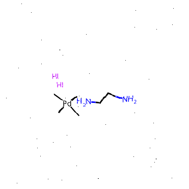 I.I.NCCN.[CH3][Pd]([CH3])([CH3])[CH3]